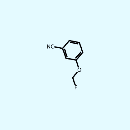 N#Cc1cccc(OCF)c1